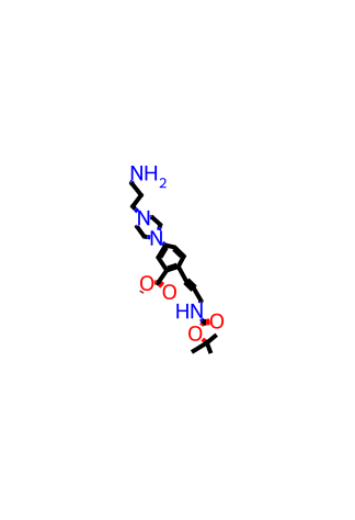 COC(=O)c1cc(N2CCN(CCCN)CC2)ccc1C#CCNC(=O)OC(C)(C)C